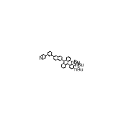 CCCCc1ccc(-c2c3ccccc3c(-c3ccc4cc(-c5cccc(-c6ccncc6)c5)ccc4c3)c3ccccc23)c(CCCC)c1CCCC